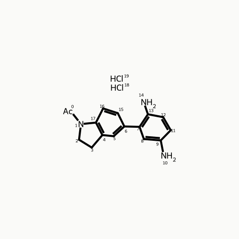 CC(=O)N1CCc2cc(-c3cc(N)ccc3N)ccc21.Cl.Cl